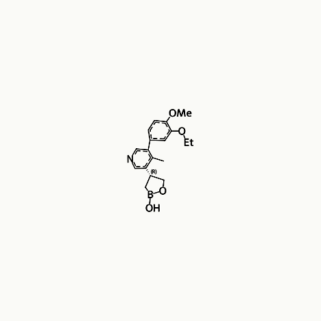 CCOc1cc(-c2cncc([C@@H]3COB(O)C3)c2C)ccc1OC